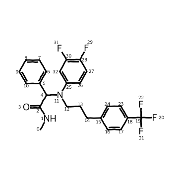 CNC(=O)C(c1ccccc1)N(CCCc1ccc(C(F)(F)F)cc1)c1ccc(F)c(F)c1